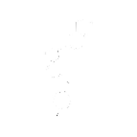 O[C@H]1CC[C@H](Nc2ccc3ncc(-c4ccc5ncccc5c4)n3n2)CC1